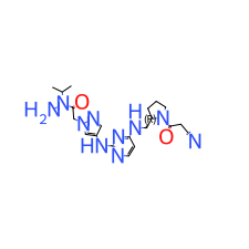 CC(C)N(N)C(=O)Cn1cc(Nc2nccc(NC[C@H]3CCCN3C(=O)CC#N)n2)cn1